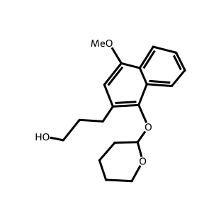 COc1cc(CCCO)c(OC2CCCCO2)c2ccccc12